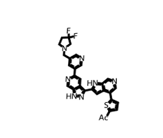 CC(=O)c1ccc(-c2cncc3[nH]c(-c4n[nH]c5cnc(-c6cncc(CN7CCC(F)(F)C7)c6)cc45)cc23)s1